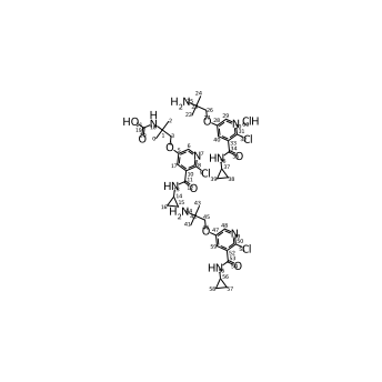 CC(C)(COc1cnc(Cl)c(C(=O)NC2CC2)c1)NC(=O)O.CC(C)(N)COc1cnc(Cl)c(C(=O)NC2CC2)c1.CC(C)(N)COc1cnc(Cl)c(C(=O)NC2CC2)c1.Cl